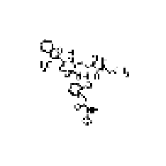 CCNC(=O)C(=O)CC[C@H](NC(=O)c1oc2ccccc2c1C)C(=O)Nc1cccn(CC(=O)NC23CC(C2)C3)c1=O